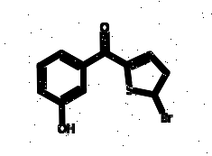 O=C(C1=CCC(Br)S1)c1cccc(O)c1